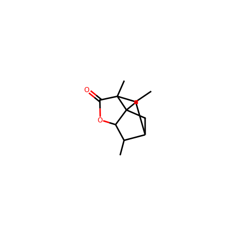 CC1C2CC3(C)C1OC(=O)C3(C)C2C